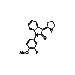 COc1ccc(N2C(=O)C(=C3CCCN3C)c3ccccc32)cc1F